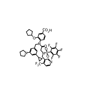 O=C(O)c1ccc(N(Cc2cc(C3CC3)cc(N3CCCC3)c2)C(=O)CN(Cc2cnccc2C(F)(F)F)S(=O)(=O)c2c(F)c(F)c(F)c(F)c2F)c(OC2CCCC2)c1